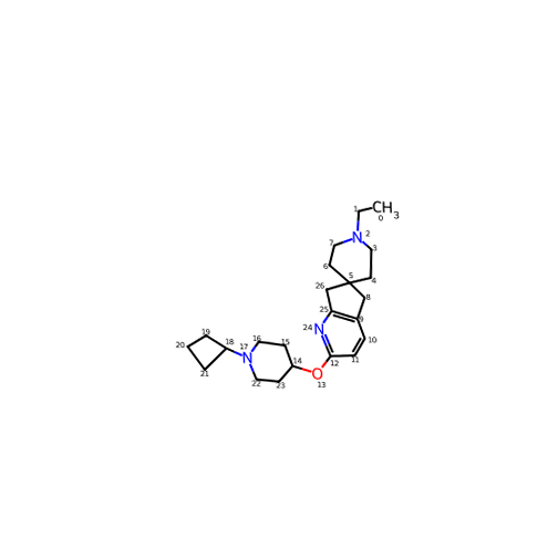 CCN1CCC2(CC1)Cc1ccc(OC3CCN(C4CCC4)CC3)nc1C2